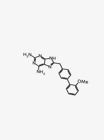 COc1ccccc1-c1ccc(Cc2nc3c(N)nc(N)nc3[nH]2)cc1